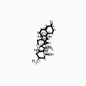 C[C@H]1C[C@H]2O[C@]3(CC[C@H]4[C@@H]5CCC6=CC(=O)CC[C@]6(C)[C@H]5CC45CC53C)[C@H](C)[C@@H]2N(O)C1